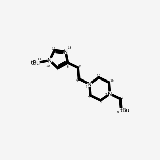 CC(C)(C)CN1CCN(CCc2cn(C(C)(C)C)cn2)CC1